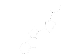 COC(=O)c1cccc(-c2nc(-c3ccccc3F)no2)c1